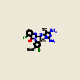 COc1cc(-n2c([C@H](C)Nc3nc(N)nc(N)c3C#N)nc3cccc(Cl)c3c2=O)ccc1F